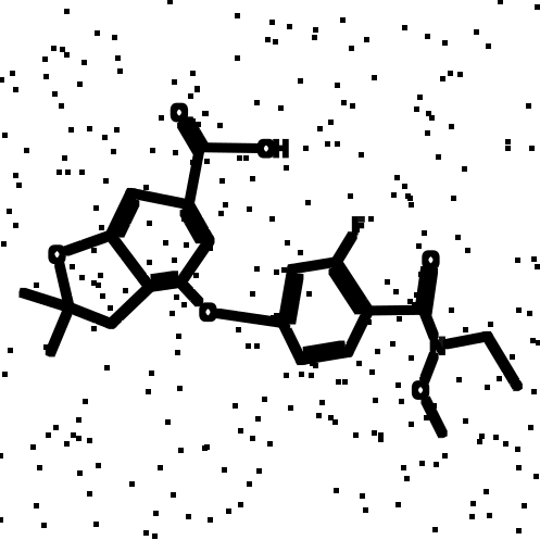 CCN(OC)C(=O)c1ccc(Oc2cc(C(=O)O)cc3c2CC(C)(C)O3)cc1F